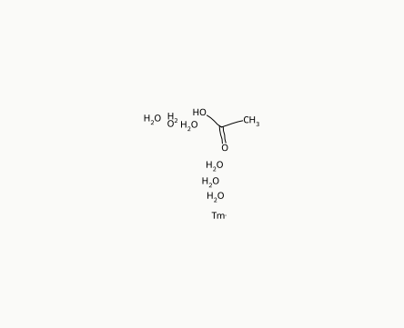 CC(=O)O.O.O.O.O.O.O.[Tm]